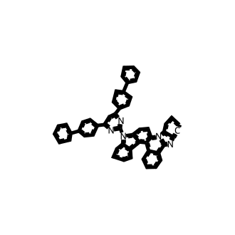 c1ccc(-c2ccc(-c3cc(-c4ccc(-c5ccccc5)cc4)nc(-n4c5ccccc5c5c6c7ccccc7c7nc8ccccc8n7c6ccc54)n3)cc2)cc1